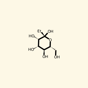 C[CH][C@@]1(O)O[C@H](CO)[C@@H](O)[C@H](O)[C@@H]1O